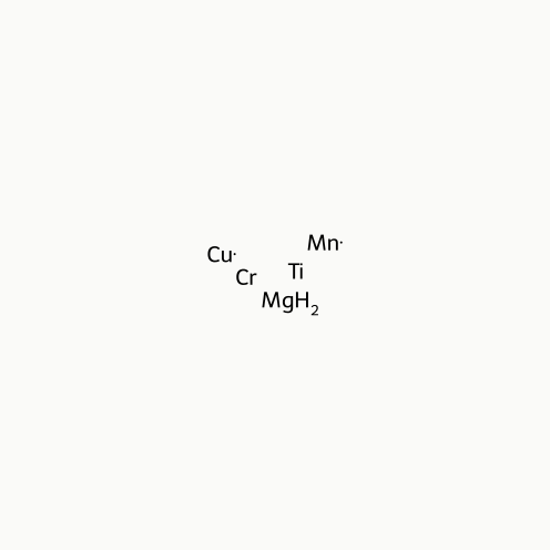 [Cr].[Cu].[MgH2].[Mn].[Ti]